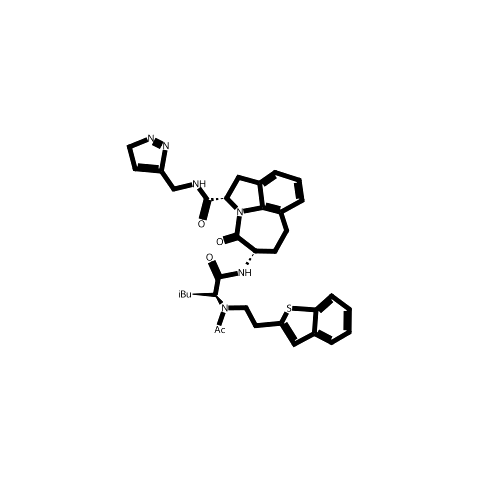 CC[C@H](C)[C@@H](C(=O)N[C@H]1CCc2cccc3c2N(C1=O)[C@H](C(=O)NCC1=CCN=N1)C3)N(CCc1cc2ccccc2s1)C(C)=O